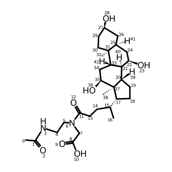 CC(=O)NCCN(CC(=O)O)C(=O)CCC(C)[C@H]1CC[C@H]2[C@@H]3[C@H](O)C[C@@H]4C[C@H](O)CC[C@]4(C)[C@H]3C[C@H](O)[C@]12C